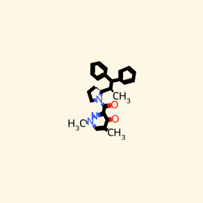 Cc1cn(C)nc(C(=O)N2CCC[C@@H]2[C@H](C)C(c2ccccc2)c2ccccc2)c1=O